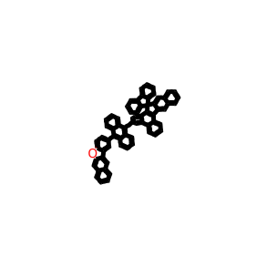 c1ccc2c(c1)-c1ccccc1C21c2cc3ccccc3cc2-c2c1c1ccc(-c3c4ccccc4c(-c4ccc5oc6cc7ccccc7cc6c5c4)c4ccccc34)cc1c1ccccc21